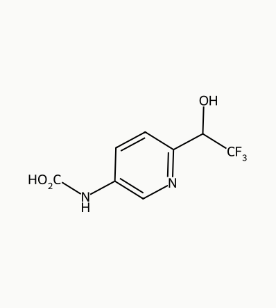 O=C(O)Nc1ccc(C(O)C(F)(F)F)nc1